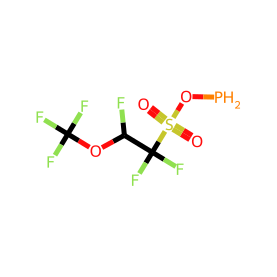 O=S(=O)(OP)C(F)(F)C(F)OC(F)(F)F